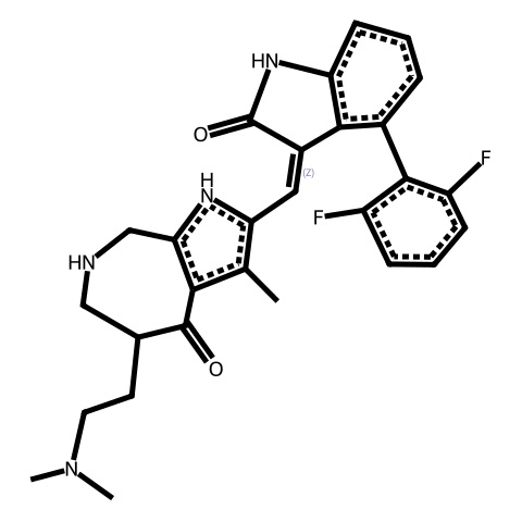 Cc1c(/C=C2\C(=O)Nc3cccc(-c4c(F)cccc4F)c32)[nH]c2c1C(=O)C(CCN(C)C)CNC2